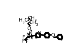 CS(C)(C)CCOCn1nc(C(F)(F)F)nc1-c1ccc(-c2ccc(OCc3ccccc3)cc2)nc1